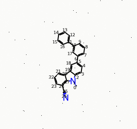 Cn1c2ccc(-c3cccc(-c4ccccc4)c3)cc2c2cccc(C#N)c21